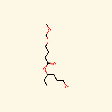 [CH2]OCOCCCC(=O)OC(CC)CCC[O]